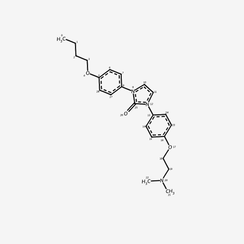 CCCCOc1ccc(-n2ccn(-c3ccc(OCCN(C)C)cc3)c2=O)cc1